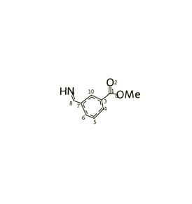 COC(=O)c1cccc(C=N)c1